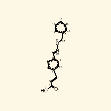 O=C(O)/C=C/c1ccc(C=NOCc2ccccc2)cc1